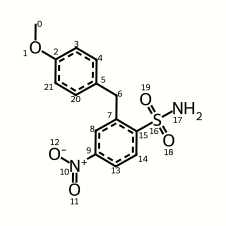 COc1ccc(Cc2cc([N+](=O)[O-])ccc2S(N)(=O)=O)cc1